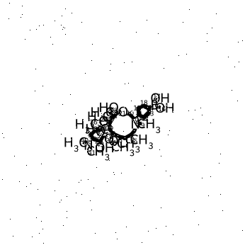 CO[C@]1(C)C[C@@H](C)CN(C)[C@H](c2ccc(B(O)O)cc2)COC(O)C(C)(C)C(=O)[C@H](C)[C@H]1O[C@@H]1O[C@H](C)C[C@H](N(C)C)[C@H]1O